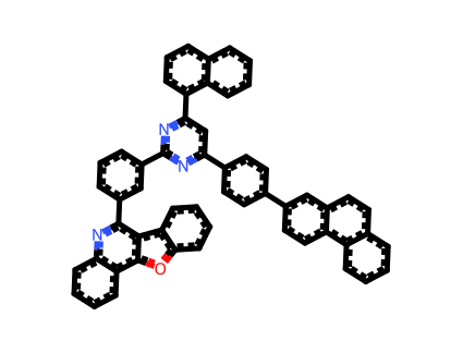 c1cc(-c2nc(-c3ccc(-c4ccc5c(ccc6ccccc65)c4)cc3)cc(-c3cccc4ccccc34)n2)cc(-c2nc3ccccc3c3oc4ccccc4c23)c1